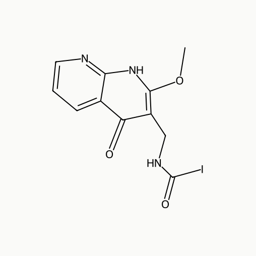 COc1[nH]c2ncccc2c(=O)c1CNC(=O)I